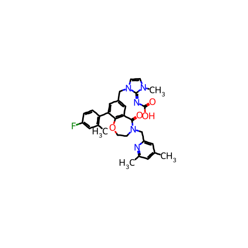 Cc1cc(C)nc(CN2CCOc3c(cc(Cn4ccn(C)c4=NC(=O)O)cc3-c3ccc(F)cc3C)C2=O)c1